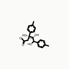 Cc1ccc(C(O)[C@@H](O)[C@@](O)(CC(=O)Cl)c2ccc(C)cc2)cc1